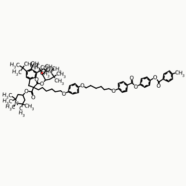 Cc1ccc(C(=O)Oc2ccc(OC(=O)c3ccc(OCCCCCCOc4ccc(OCCCCCCC(Cc5cc(C(C)(C)C)c(O)c(C(C)(C)C)c5)(C(=O)OC5CC(C)(C)N(C)C(C)(C)C5)C(=O)OC5CC(C)(C)N(C)C(C)(C)C5)cc4)cc3)cc2)cc1